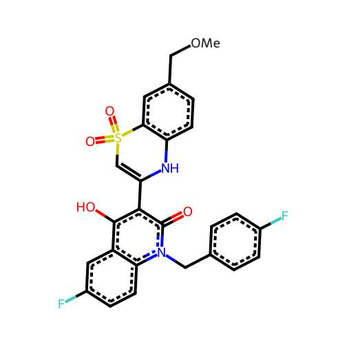 COCc1ccc2c(c1)S(=O)(=O)C=C(c1c(O)c3cc(F)ccc3n(Cc3ccc(F)cc3)c1=O)N2